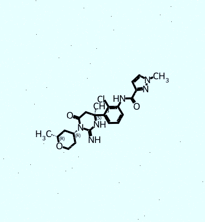 C[C@@H]1C[C@H](N2C(=N)N[C@](C)(c3cccc(NC(=O)c4ccn(C)n4)c3Cl)CC2=O)CCO1